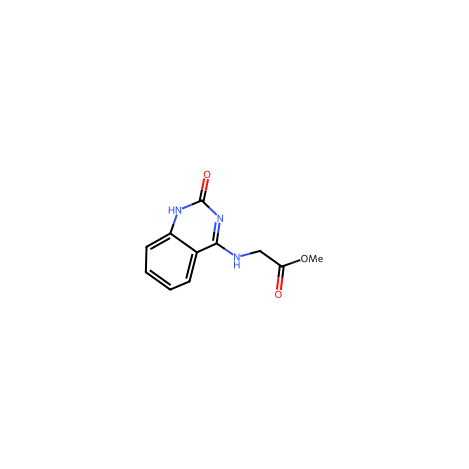 COC(=O)CNc1nc(=O)[nH]c2ccccc12